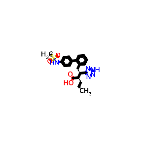 CCC[C@H](C(=O)O)[C@H](Cc1ccccc1-c1ccc(NS(C)(=O)=O)cc1)c1nn[nH]n1